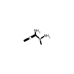 C=C=C(N)N(C)N